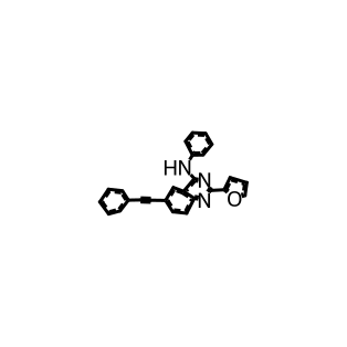 C(#Cc1ccc2nc(-c3ccco3)nc(Nc3ccccc3)c2c1)c1ccccc1